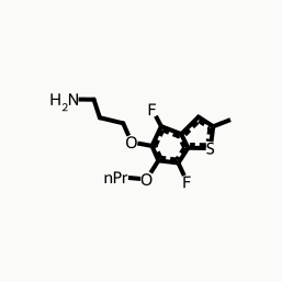 CCCOc1c(OCCCN)c(F)c2cc(C)sc2c1F